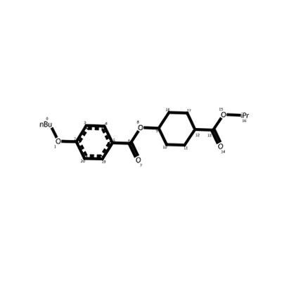 CCCCOc1ccc(C(=O)OC2CCC(C(=O)OC(C)C)CC2)cc1